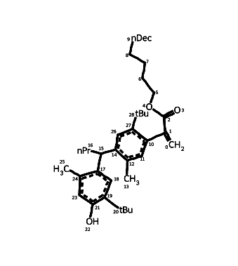 C=C(C(=O)OCCCCCCCCCCCCCC)c1cc(C)c(C(CCC)c2cc(C(C)(C)C)c(O)cc2C)cc1C(C)(C)C